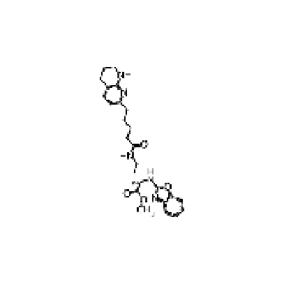 COC(=O)[C@H](CCNC(=O)CCCCc1ccc2c(n1)NCCC2)Nc1nc2ccccc2o1